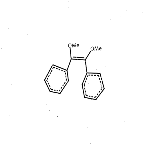 COC(=C(OC)c1ccccc1)c1ccccc1